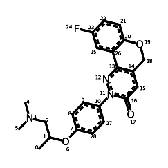 CC(CN(C)C)Oc1ccc(-n2nc3c(cc2=O)COc2ccc(F)cc2-3)cc1